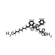 CCCCCCCCC=Cc1ccccc1C(=O)N(CCCC(=O)OC)OCc1ccccc1